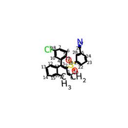 C=C/C(=C(/c1cccc(Cl)c1)c1ccccc1C)S(=O)(=O)c1cccc(C#N)c1